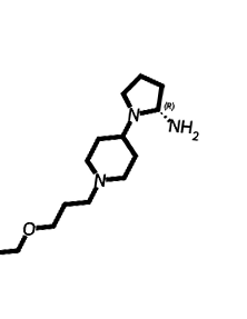 CCOCCCN1CCC(N2CCC[C@@H]2N)CC1